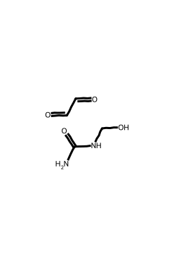 NC(=O)NCO.O=CC=O